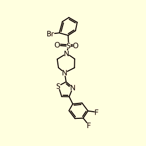 O=S(=O)(c1ccccc1Br)N1CCN(c2nc(-c3ccc(F)c(F)c3)cs2)CC1